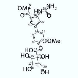 COC(=O)c1sc(-c2ccc(OC(O)C3(O)C(O)C(O)C3CO)c(OC)c2)cc1NC(N)=O